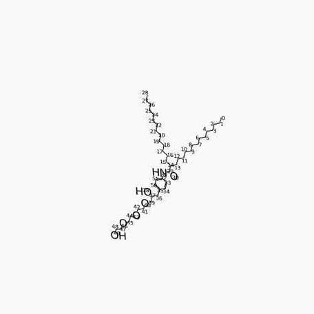 CCCCCCCCCCCCCCC(CCCCCCCCCCCCCC)C(=O)Nc1ccc(CC(O)COCCOCCOCCO)cc1